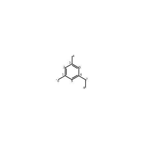 [CH2]c1cc(C)[c]c(CC)c1